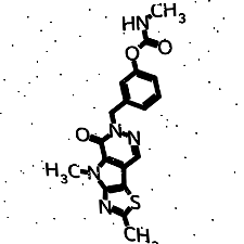 CNC(=O)Oc1cccc(Cn2ncc3c4sc(C)nc4n(C)c3c2=O)c1